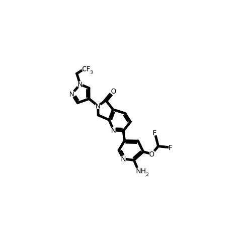 Nc1ncc(-c2ccc3c(n2)CN(c2cnn(CC(F)(F)F)c2)C3=O)cc1OC(F)F